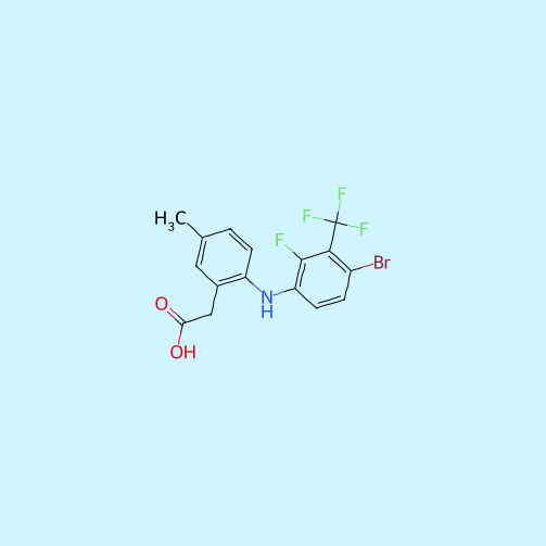 Cc1ccc(Nc2ccc(Br)c(C(F)(F)F)c2F)c(CC(=O)O)c1